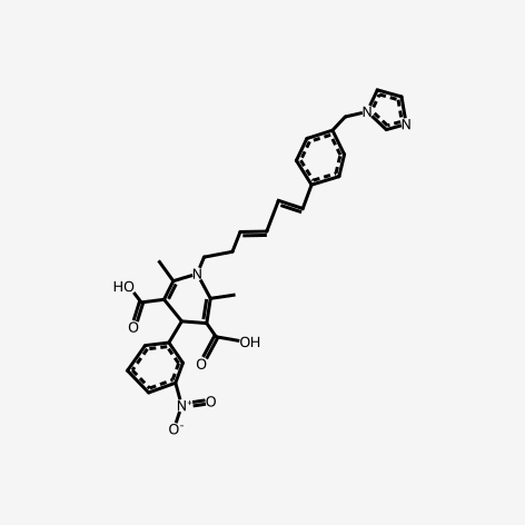 CC1=C(C(=O)O)C(c2cccc([N+](=O)[O-])c2)C(C(=O)O)=C(C)N1CCC=CC=Cc1ccc(Cn2ccnc2)cc1